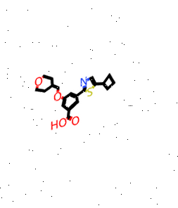 O=C(O)c1cc(OCC2CCOCC2)cc(-c2ncc(C3CCC3)s2)c1